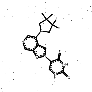 CC1(C)CN(c2cncc3nn(-c4c[nH]c(=O)[nH]c4=O)cc23)CC1(F)F